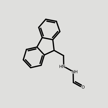 O=CNNCC1c2ccccc2-c2ccccc21